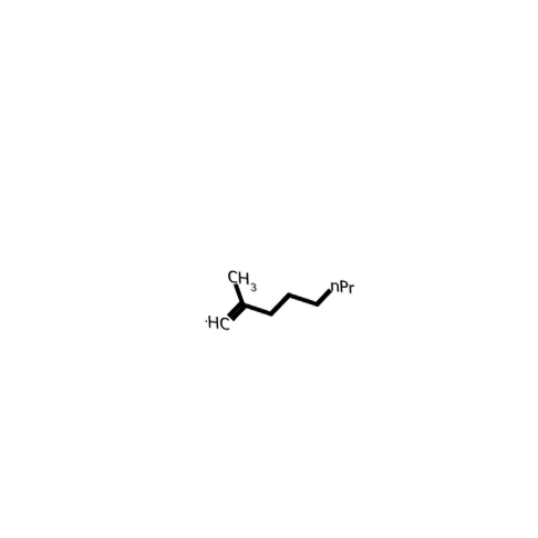 [CH]=C(C)CCCCC[CH2]